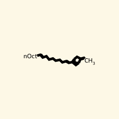 CC=C1CC2CC1C=C2C=CCCCCCCC=CCCCCCCCC